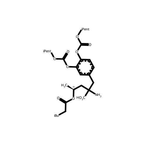 CCCC(C)OC(=O)Oc1ccc(CC(N)(C[C@H](C)OC(=O)CC(C)CC)C(=O)O)cc1OC(=O)OC(C)CCC